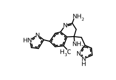 Cc1cc(-c2cc[nH]n2)cc2c1C(N)(Cc1cc[nH]n1)CC(N)=N2